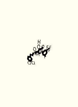 O=C(NCCCc1ccc(Cl)c(Cl)c1)C1=C(O)C(=O)N(c2cc(F)cc(C(F)(F)F)c2)C1